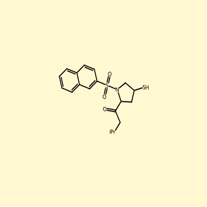 CC(C)CC(=O)C1CC(S)CN1S(=O)(=O)c1ccc2ccccc2c1